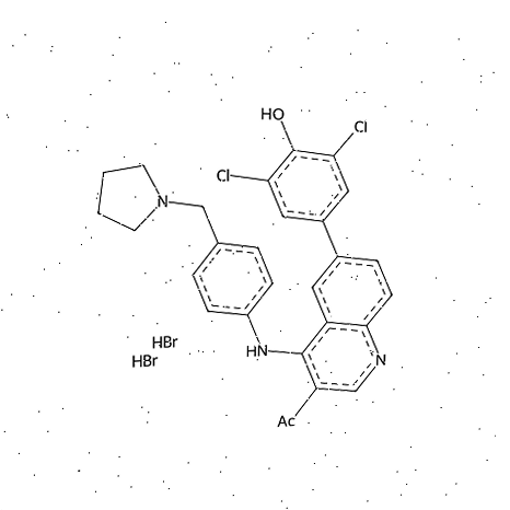 Br.Br.CC(=O)c1cnc2ccc(-c3cc(Cl)c(O)c(Cl)c3)cc2c1Nc1ccc(CN2CCCC2)cc1